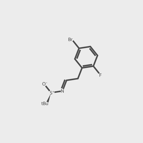 CC(C)(C)[S@@+]([O-])/N=C/Cc1cc(Br)ccc1F